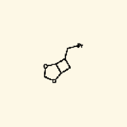 CC(C)CC1CC2OCOC12